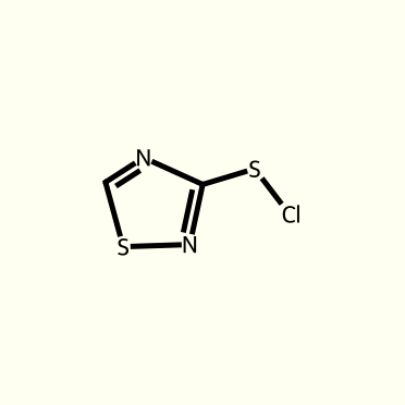 ClSc1ncsn1